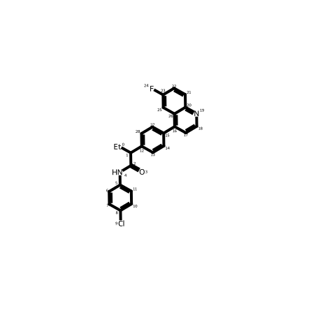 CCC(C(=O)Nc1ccc(Cl)cc1)c1ccc(-c2ccnc3ccc(F)cc23)cc1